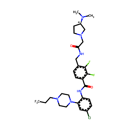 CN(C)[C@@H]1CCN(CC(=O)NCc2ccc(C(=O)Nc3ccc(Cl)cc3N3CCN(CCC(F)(F)F)CC3)c(F)c2F)C1